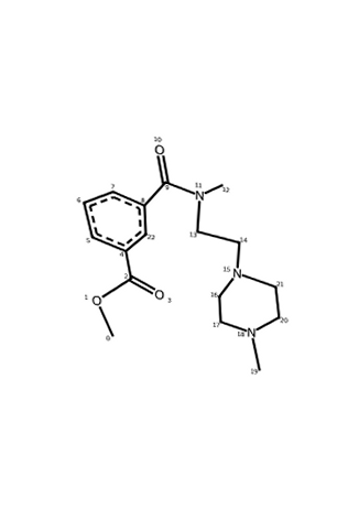 COC(=O)c1cccc(C(=O)N(C)CCN2CCN(C)CC2)c1